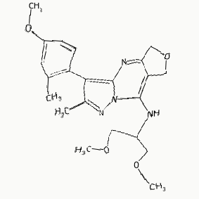 COCC(COC)Nc1c2c(nc3c(-c4ccc(OC)cc4C)c(C)nn13)COC2